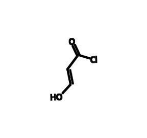 O=C(Cl)C=CO